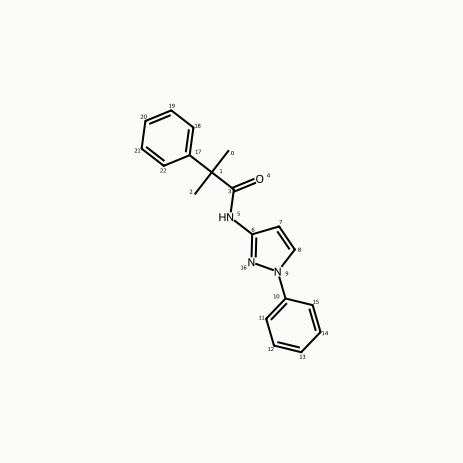 CC(C)(C(=O)Nc1ccn(-c2ccccc2)n1)c1ccccc1